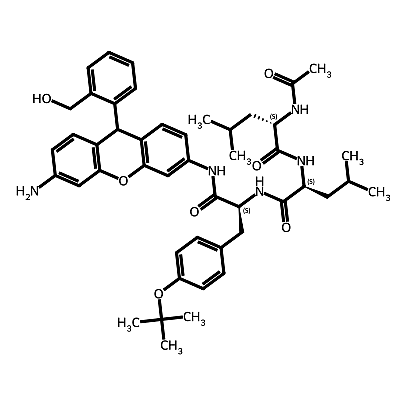 CC(=O)N[C@@H](CC(C)C)C(=O)N[C@@H](CC(C)C)C(=O)N[C@@H](Cc1ccc(OC(C)(C)C)cc1)C(=O)Nc1ccc2c(c1)Oc1cc(N)ccc1C2c1ccccc1CO